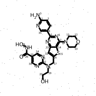 Nc1ccc(-c2nc(N3CCOCC3)c3sc(CN(CCO)c4ncc(C(=O)NO)cn4)cc3n2)cn1